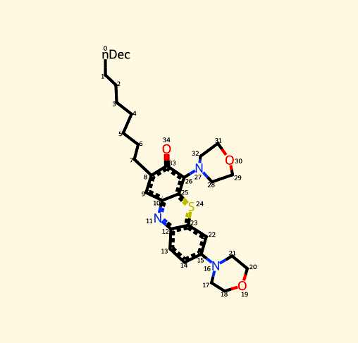 CCCCCCCCCCCCCCCCCc1cc2nc3ccc(N4CCOCC4)cc3sc-2c(N2CCOCC2)c1=O